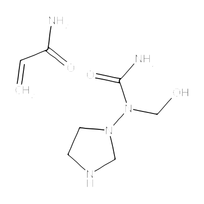 C=CC(N)=O.NC(=O)N(CO)N1CCNC1